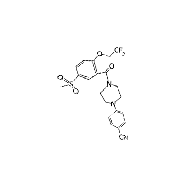 CS(=O)(=O)c1ccc(OCC(F)(F)F)c(C(=O)N2CCN(c3ccc(C#N)cc3)CC2)c1